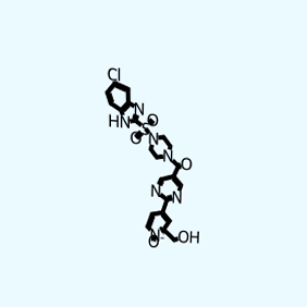 O=C(c1cnc(-c2cc[n+]([O-])c(CO)c2)nc1)N1CCN(S(=O)(=O)c2nc3cc(Cl)ccc3[nH]2)CC1